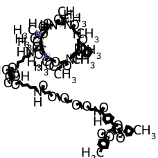 C/C=C(\C)[C@H]1OC(=O)[C@@H](C)NC(=O)[C@H]([C@H](C)CC)NC(=O)CN(C)C(=O)[C@@H](Cc2ccccc2)N(C)C(=O)[C@H](C)NC(=O)[C@@H](CC(C)C)OC(=O)/C(C)=C/C[C@H](OC(=O)NCCCCCOP(=O)(O)OP(=O)(O)OCCCCCNC(=O)CCOCCOCCOCCOCCNC(=O)c2ccc(C(=O)C(CS(=O)(=O)c3ccc(C)cc3)CS(=O)(=O)c3ccc(C)cc3)cc2)[C@@H]1C